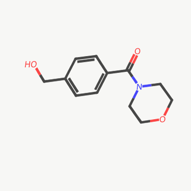 O=C(c1ccc(CO)cc1)N1CCOCC1